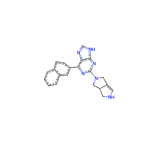 C1=C2CN(c3nc(-c4ccc5ccccc5c4)c4nc[nH]c4n3)CC2CN1